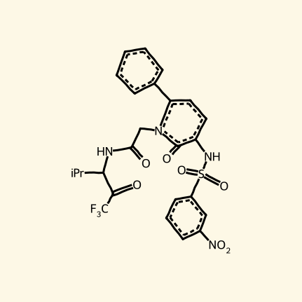 CC(C)C(NC(=O)Cn1c(-c2ccccc2)ccc(NS(=O)(=O)c2cccc([N+](=O)[O-])c2)c1=O)C(=O)C(F)(F)F